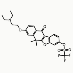 CCN(CC)CCOc1ccc2c(c1)C(C)(C)c1oc3cc(OS(=O)(=O)C(F)(F)F)ccc3c1C2=O